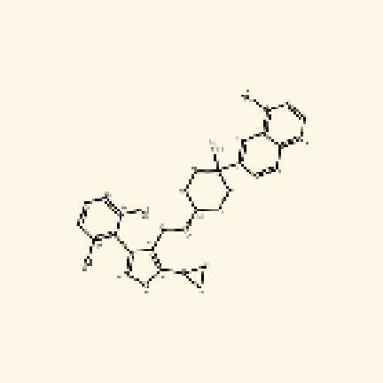 N#Cc1ccnc2ccc([C@]3(O)CC[C@@H](OCc4c(-c5c(Cl)cccc5Cl)noc4C4CC4)CC3)cc12